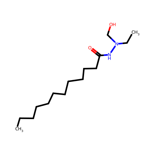 CCCCCCCCCCCC(=O)NN(CC)CO